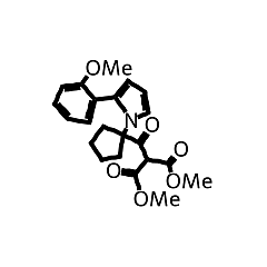 COC(=O)C(C(=O)OC)C(=O)C1(n2cccc2-c2ccccc2OC)CCCC1